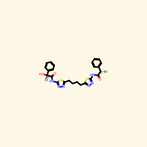 CC[C@H](C(=O)Nc1nnc(CCCCc2nnc(NC(=O)[C@@](O)(CC)c3ccccc3)s2)s1)c1ccccc1